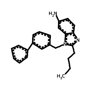 CCCCc1nc2ccc(N)cc2n1Cc1cccc(-c2ccccc2)c1